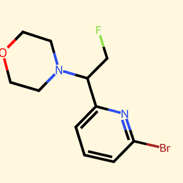 FCC(c1cccc(Br)n1)N1CCOCC1